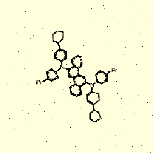 CC(C)c1ccc(N(C2=CC=C(C3CCCCC3)CC2)c2cc3c4ccccc4c(N(c4ccc(C(C)C)cc4)c4ccc(C5CCCCC5)cc4)cc3c3ccccc23)cc1